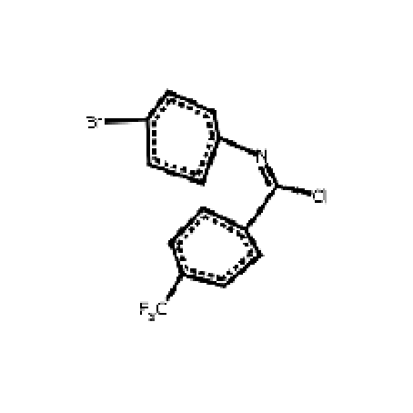 FC(F)(F)c1ccc(/C(Cl)=N\c2ccc(Br)cc2)cc1